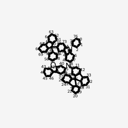 c1ccc(-n2c3ccc(N(c4ccc5c(c4)C4(c6ccccc6-c6ccccc64)c4ccccc4-5)c4ccc5c(c4)oc4ccccc45)cc3c3cc(C4(c5ccccc5)c5ccccc5-c5ccccc54)ccc32)cc1